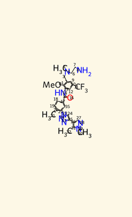 COc1c(CN(C)CCN)cc(C(F)(F)F)cc1NC(=O)c1ccc(C)c(-n2cc(-c3cnn(C)c3C)nn2)c1